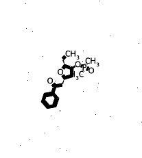 CC[C@H]1O[C@@H](CC(=O)c2ccccc2)C[C@@H]1OP(C)(C)=O